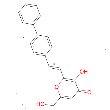 O=c1cc(CO)oc(/C=C/c2ccc(-c3ccccc3)cc2)c1O